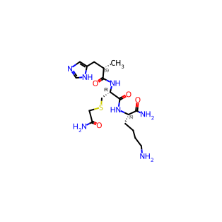 C[C@@H](Cc1cnc[nH]1)C(=O)N[C@@H](CSCC(N)=O)C(=O)N[C@@H](CCCCN)C(N)=O